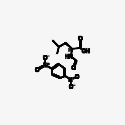 CC(C)C[C@H](NC=O)C(=O)O.O=[N+]([O-])c1ccc([N+](=O)[O-])cc1